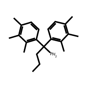 CCCC(P)(c1ccc(C)c(C)c1C)c1ccc(C)c(C)c1C